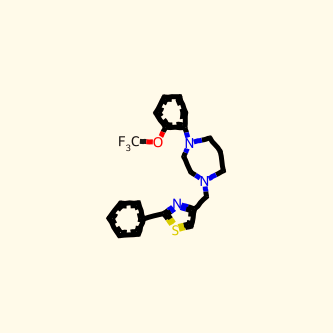 FC(F)(F)Oc1ccccc1N1CCCN(Cc2csc(-c3ccccc3)n2)CC1